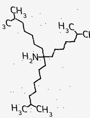 CC(C)CCCCCCC(N)(CCCCCC(C)C)CCCCCC(C)C